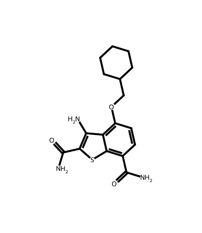 NC(=O)c1sc2c(C(N)=O)ccc(OCC3CCCCC3)c2c1N